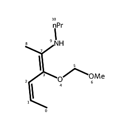 C/C=C\C(OCOC)=C(/C)NCCC